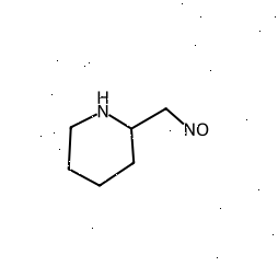 O=NCC1CCCCN1